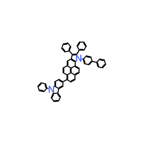 c1ccc(-c2ccc(-n3c(-c4ccccc4)c(-c4ccccc4)c4cc5ccc6c(-c7ccc8c(c7)c7ccccc7n8-c7ccccc7)ccc7ccc(c5c76)c43)cc2)cc1